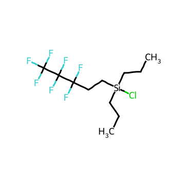 CCC[Si](Cl)(CCC)CCC(F)(F)C(F)(F)C(F)(F)F